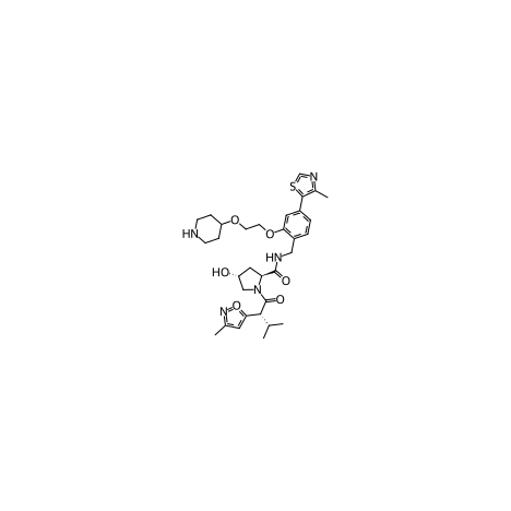 Cc1cc([C@H](C(=O)N2C[C@H](O)C[C@H]2C(=O)NCc2ccc(-c3scnc3C)cc2OCCOC2CCNCC2)C(C)C)on1